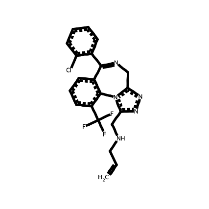 C=CCNCc1nnc2n1-c1c(cccc1C(F)(F)F)C(c1ccccc1Cl)=NC2